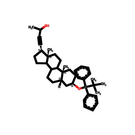 CC(O)C#C[C@H]1CCC2C3CC[C@H]4C[C@H](O[Si](c5ccccc5)(c5ccccc5)C(C)(C)C)CC[C@]4(C)C3CC[C@@]21C